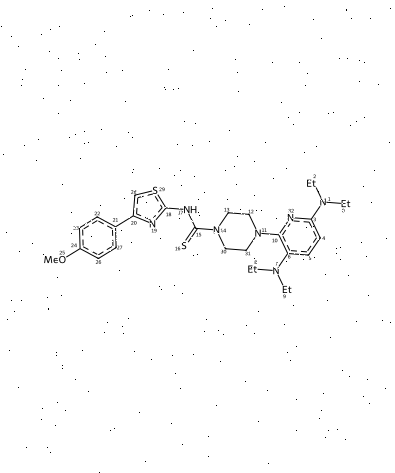 CCN(CC)c1ccc(N(CC)CC)c(N2CCN(C(=S)Nc3nc(-c4ccc(OC)cc4)cs3)CC2)n1